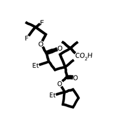 CCC(CC(C)(CC(C)(C)C(=O)O)C(=O)OC1(CC)CCCC1)C(=O)OCC(C)(F)F